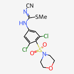 CS/C(=N\C#N)Nc1cc(Cl)c(S(=O)(=O)N2CCOCC2)c(Cl)c1